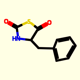 O=C1NC(Cc2ccccc2)C(=O)S1